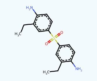 CCc1cc(S(=O)(=O)c2ccc(N)c(CC)c2)ccc1N